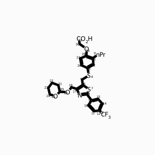 CCCc1cc(SCc2sc(-c3ccc(C(F)(F)F)cc3)nc2COC2CCCCO2)ccc1OCC(=O)O